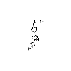 CC(=O)NCc1ccc(-c2cnc(C3CN(C(C)C)C3)s2)cc1